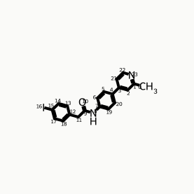 Cc1cc(-c2ccc(NC(=O)Cc3ccc(I)cc3)cc2)ccn1